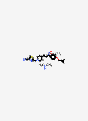 CNC.Cc1c(OCC2CC2)ccc2c(CCC3CCN(Cc4nc(C#N)cs4)CC3)noc12